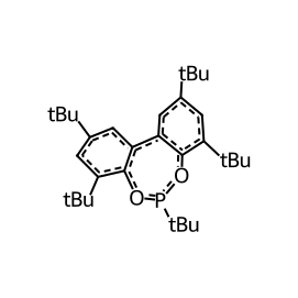 CC(C)(C)c1cc(C(C)(C)C)c2op(C(C)(C)C)oc3c(C(C)(C)C)cc(C(C)(C)C)cc3c2c1